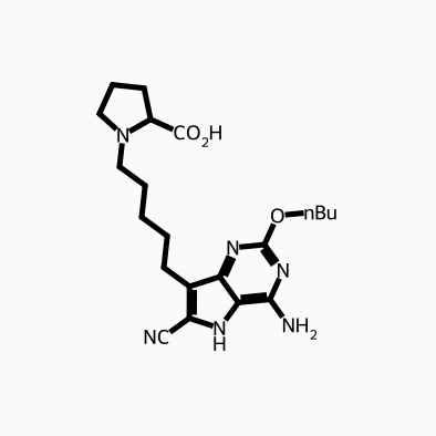 CCCCOc1nc(N)c2[nH]c(C#N)c(CCCCCN3CCCC3C(=O)O)c2n1